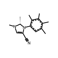 Cc1cc(N2C(C#N)=CN(C)[C@@H]2C)c(C)c(C)c1C